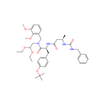 CCOC(CN(Cc1cccc(OC)c1OC)C(=O)[C@H](Cc1ccc(OC(C)(C)C)cc1)NC(=O)C[C@@H](C)NC(=O)NCc1ccccc1)OCC